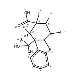 CC(C)(O)C1(c2ccccc2)C(F)C(F)C(F)C(F)(C(=O)O)C1(F)F